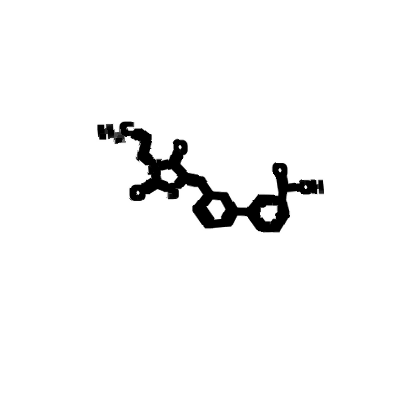 C=CCN1C(=O)S/C(=C\C2C=CC=C(c3cccc(C(=O)O)c3)C2)C1=O